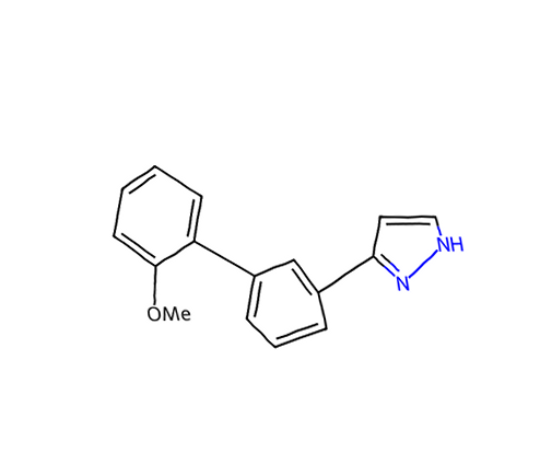 COc1ccccc1-c1cccc(-c2cc[nH]n2)c1